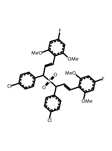 COc1cc(F)cc(OC)c1C=CC(c1ccc(Cl)cc1)S(=O)(=O)C(C=Cc1c(OC)cc(F)cc1OC)c1ccc(Cl)cc1